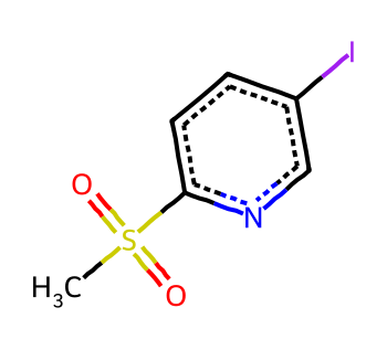 CS(=O)(=O)c1ccc(I)cn1